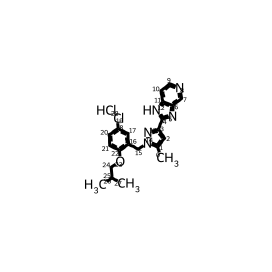 Cc1cc(-c2nc3cnccc3[nH]2)nn1Cc1cc(Cl)ccc1OCC(C)C.Cl